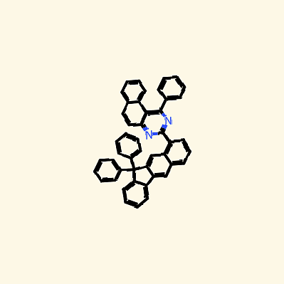 c1ccc(-c2nc(-c3cccc4cc5c(cc34)C(c3ccccc3)(c3ccccc3)c3ccccc3-5)nc3ccc4ccccc4c23)cc1